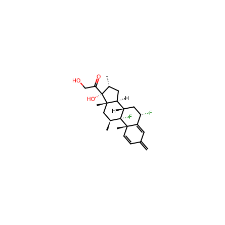 C=C1C=C[C@@]2(C)C(=C1)[C@@H](F)C[C@H]1[C@@H]3C[C@@H](C)[C@](O)(C(=O)CO)[C@@]3(C)C[C@H](C)[C@@]12F